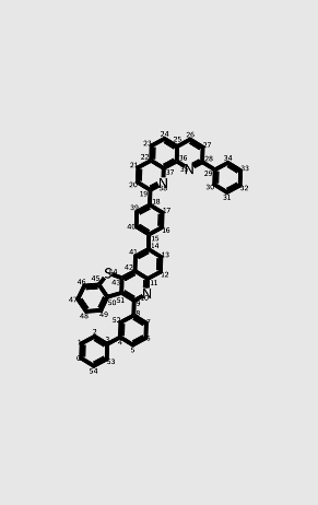 c1ccc(-c2cccc(-c3nc4ccc(-c5ccc(-c6ccc7ccc8ccc(-c9ccccc9)nc8c7n6)cc5)cc4c4sc5ccccc5c34)c2)cc1